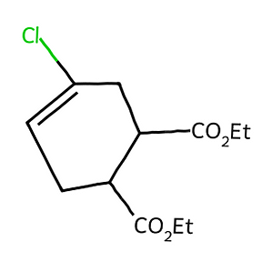 CCOC(=O)C1CC=C(Cl)CC1C(=O)OCC